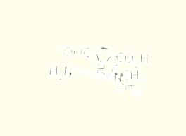 C[N+](C)(C)CCCCCCN.O=C([O-])c1ccc(C(=O)O)cc1